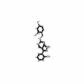 Fc1ccc(COc2ncc3c(-c4ccccc4Cl)n[nH]c3n2)c(F)c1